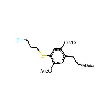 CNCCc1cc(OC)c(SCCCF)cc1OC